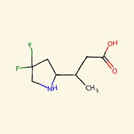 CC(CC(=O)O)C1CC(F)(F)CN1